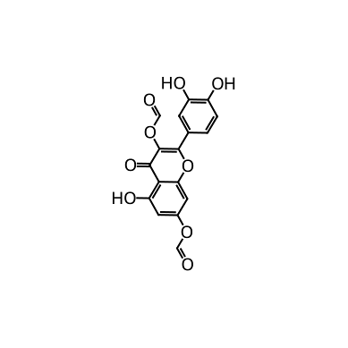 O=COc1cc(O)c2c(=O)c(OC=O)c(-c3ccc(O)c(O)c3)oc2c1